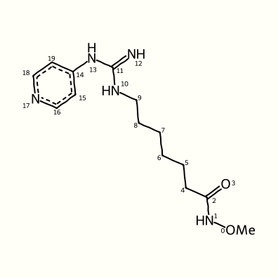 CONC(=O)CCCCCCNC(=N)Nc1ccncc1